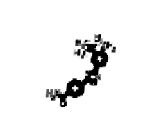 Cc1ccc(-c2noc(-c3ccc(C(N)=O)cc3)n2)cc1C(C)(C)C